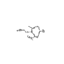 CCCCOc1c(C)cc(Br)cc1C=O